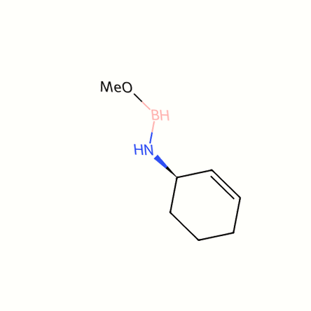 COBN[C@H]1C=CCCC1